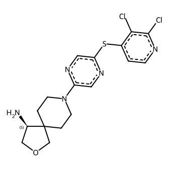 N[C@@H]1COCC12CCN(c1cnc(Sc3ccnc(Cl)c3Cl)cn1)CC2